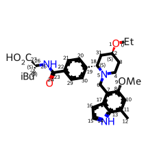 CCO[C@H]1CCN(Cc2c(OC)cc(C)c3[nH]ccc23)[C@H](c2ccc(C(=O)N[C@H](C(=O)O)[C@@H](C)CC)cc2)C1